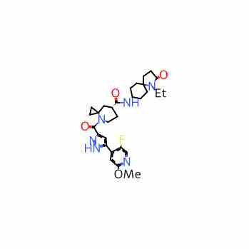 CCN1C(=O)CCC12CCC(NC(=O)[C@@H]1CCN(C(=O)c3cc(-c4cc(OC)ncc4F)[nH]n3)C3(CC3)C1)CC2